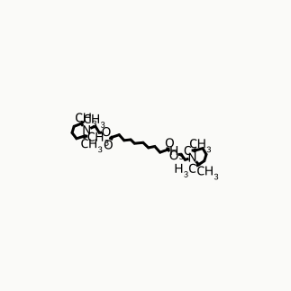 CC1(C)CCCC(C)(C)N1CCOC(=O)CCCCCCCCC(=O)OCCN1C(C)(C)CCCC1(C)C